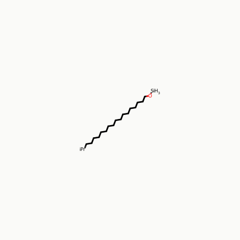 CC(C)CCCCCCCCCCCCCCCCCO[SiH3]